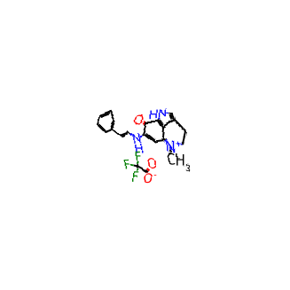 C[N+]1=C2C=C(NC=Cc3ccccc3)C(=O)c3[nH]cc(c32)CC1.O=C([O-])C(F)(F)F